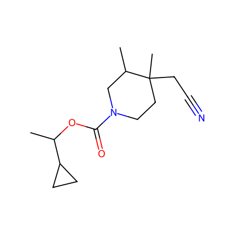 CC(OC(=O)N1CCC(C)(CC#N)C(C)C1)C1CC1